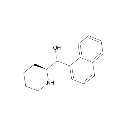 O[C@H](c1cccc2ccccc12)[C@@H]1CCCCN1